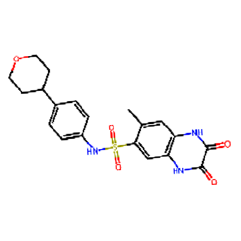 Cc1cc2[nH]c(=O)c(=O)[nH]c2cc1S(=O)(=O)Nc1ccc(C2CCOCC2)cc1